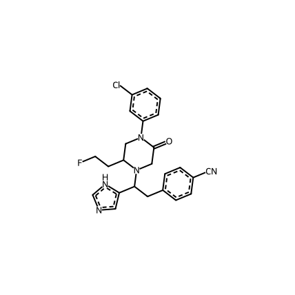 N#Cc1ccc(CC(c2cnc[nH]2)N2CC(=O)N(c3cccc(Cl)c3)CC2CCF)cc1